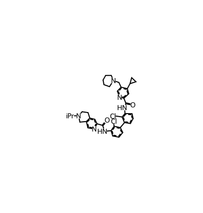 CC(C)N1CCc2cc(C(=O)Nc3cccc(-c4cccc(NC(=O)c5cc(C6CC6)c(CN6CCCCC6)cn5)c4Cl)c3Cl)ncc2C1